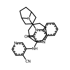 N#Cc1ccncc1Nc1nc2ccccc2n(C2CC3CCC(C2)N3C2CCCCCCC2)c1=O